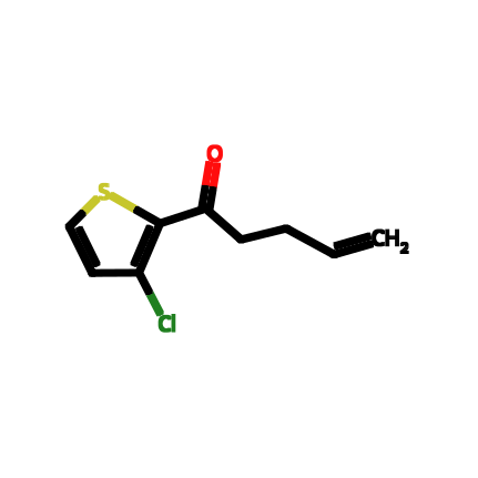 C=CCCC(=O)c1sccc1Cl